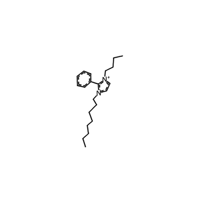 CCCCCCCCn1cc[n+](CCCC)c1-c1ccccc1